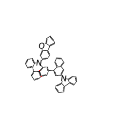 c1ccc(-c2ccccc2N(c2cccc(-c3cc(-n4c5ccccc5c5ccccc54)cc4ccccc34)c2)c2ccc3c(c2)oc2ccccc23)cc1